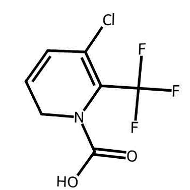 O=C(O)N1CC=CC(Cl)=C1C(F)(F)F